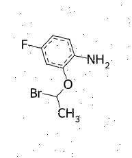 CC(Br)Oc1cc(F)ccc1N